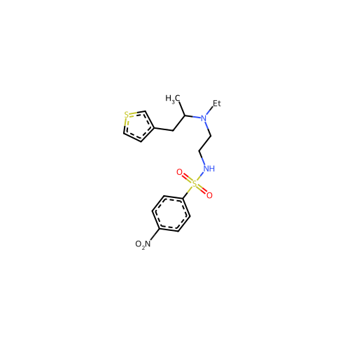 CCN(CCNS(=O)(=O)c1ccc([N+](=O)[O-])cc1)C(C)Cc1ccsc1